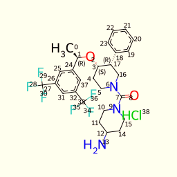 C[C@@H](O[C@H]1CCN(C(=O)N2CCC(N)CC2)C[C@H]1c1ccccc1)c1cc(C(F)(F)F)cc(C(F)(F)F)c1.Cl